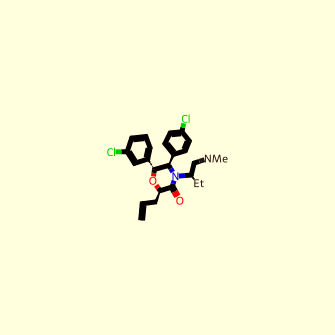 C=CC[C@H]1O[C@H](c2cccc(Cl)c2)[C@@H](c2ccc(Cl)cc2)N([C@@H](CC)CNC)C1=O